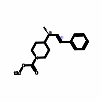 C[C@H](/C=C/c1ccccc1)C1CCN(C(=O)OC(C)(C)C)CC1